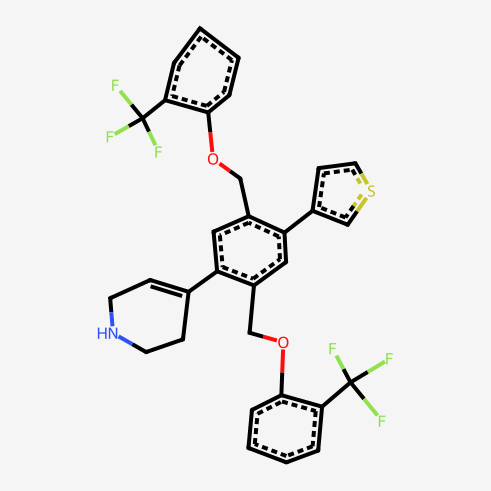 FC(F)(F)c1ccccc1OCc1cc(-c2ccsc2)c(COc2ccccc2C(F)(F)F)cc1C1=CCNCC1